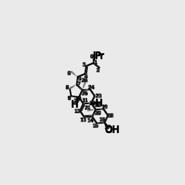 CC(C)[C@@H](C)/C=C/[C@@H](C)[C@H]1CC[C@H]2C3=CC=C4C[C@H](O)CC[C@]4(C)[C@H]3CC[C@]12C